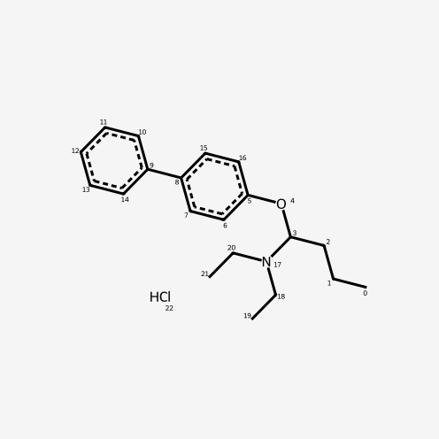 CCCC(Oc1ccc(-c2ccccc2)cc1)N(CC)CC.Cl